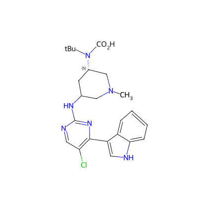 CN1CC(Nc2ncc(Cl)c(-c3c[nH]c4ccccc34)n2)C[C@H](N(C(=O)O)C(C)(C)C)C1